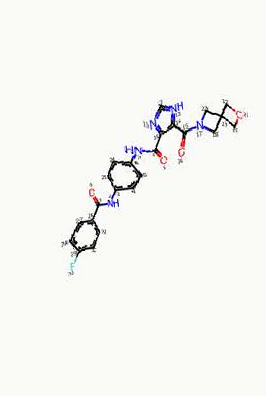 O=C(Nc1ccc(NC(=O)c2nc[nH]c2C(=O)N2CC3(COC3)C2)cc1)c1ccc(F)cc1